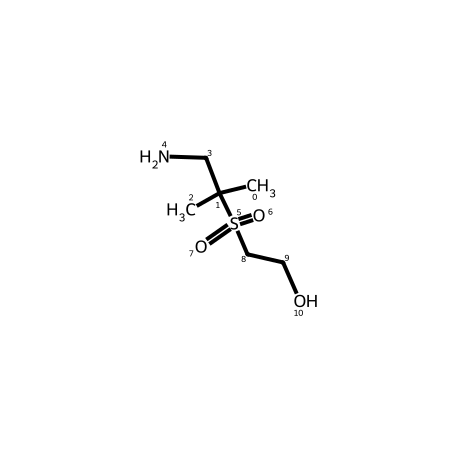 CC(C)(CN)S(=O)(=O)CCO